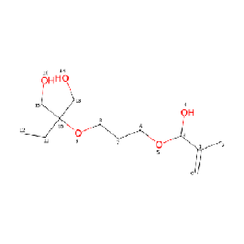 C=C(C)C(O)OCCCOC(CC)(CO)CO